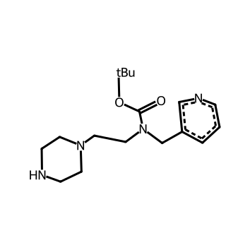 CC(C)(C)OC(=O)N(CCN1CCNCC1)Cc1cccnc1